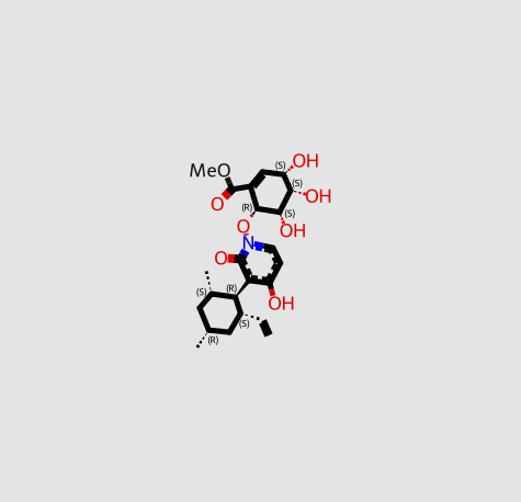 C=C[C@@H]1C[C@H](C)C[C@H](C)[C@H]1c1c(O)ccn(O[C@@H]2C(C(=O)OC)=C[C@H](O)[C@H](O)[C@@H]2O)c1=O